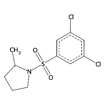 C[C]1CCCN1S(=O)(=O)c1cc(Cl)cc(Cl)c1